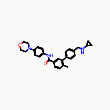 Cc1ccc(C(=O)Nc2ccc(N3CCOCC3)cc2)cc1-c1ccc(CNC2CC2)cc1